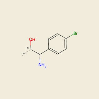 C[C@H](O)C(N)c1ccc(Br)cc1